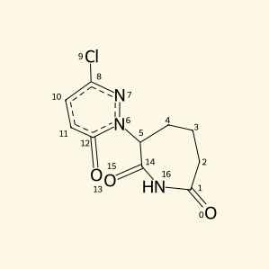 O=C1CCCC(n2nc(Cl)ccc2=O)C(=O)N1